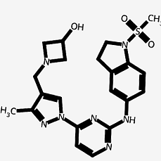 Cc1nn(-c2ccnc(Nc3ccc4c(c3)CCN4S(C)(=O)=O)n2)cc1CN1CC(O)C1